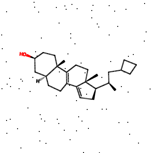 C[C@H](CC1CCC1)[C@H]1CC=C2C3=C(CC[C@@]21C)[C@@]1(C)CC[C@H](O)C[C@@H]1CC3